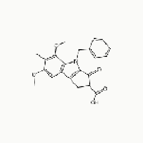 COc1cc2c3c(n(Cc4ccccc4)c2c(OC)c1C)C(=O)C(C(=O)O)C3